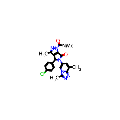 CNC(=O)n1nc(C)c2c1C(=O)N(c1cc(C)c3nnc(C)n3c1)C2c1ccc(Cl)cc1